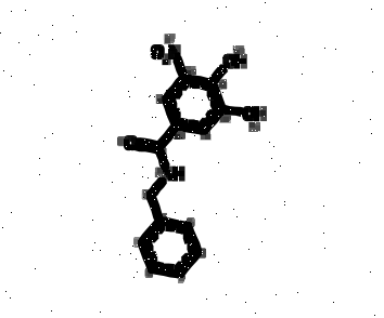 O=C(NCc1ccccc1)c1cc(O)c(O)c([N+](=O)[O-])c1